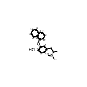 CC(Cc1cccc(Oc2cccc3ccccc23)c1)N(C)C.Cl